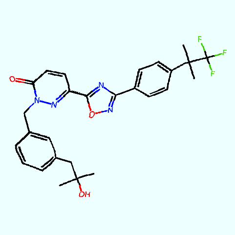 CC(C)(O)Cc1cccc(Cn2nc(-c3nc(-c4ccc(C(C)(C)C(F)(F)F)cc4)no3)ccc2=O)c1